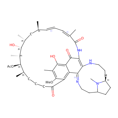 COc1c(C)c(O)c2c3c1C(=O)CCC[C@@H](C)[C@@H](OC(C)=O)[C@H](C)[C@H](O)[C@H](C)C[C@@H](C)/C=C/C=C(/C)C(=O)NC(=C1NCC[C@@H]4CCC(CC/N=C\13)N4C)C2=O